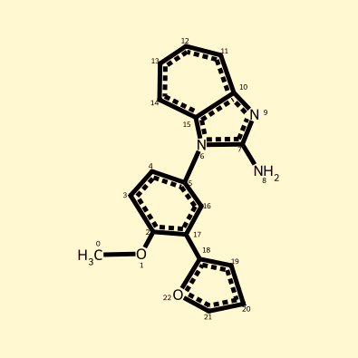 COc1ccc(-n2c(N)nc3ccccc32)cc1-c1ccco1